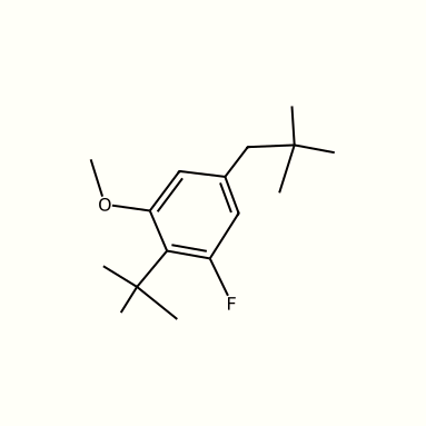 COc1cc(CC(C)(C)C)cc(F)c1C(C)(C)C